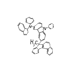 CC1(c2ccc3c(c2)c2cc(N(c4ccccc4)c4cccc5ccccc45)ccc2n3-c2ccccc2)c2ccccc2-c2c1ccc1ccccc21